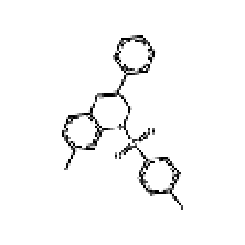 Cc1ccc(S(=O)(=O)N2CC(c3ccccc3)=Cc3ccc(C)cc32)cc1